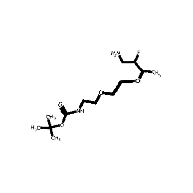 CC(OCCOCCNC(=O)OC(C)(C)C)C(F)CN